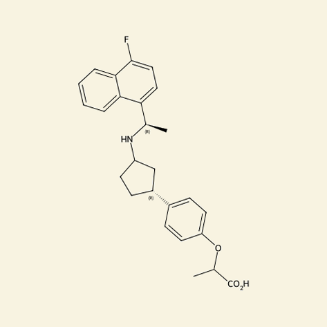 CC(Oc1ccc([C@@H]2CCC(N[C@H](C)c3ccc(F)c4ccccc34)C2)cc1)C(=O)O